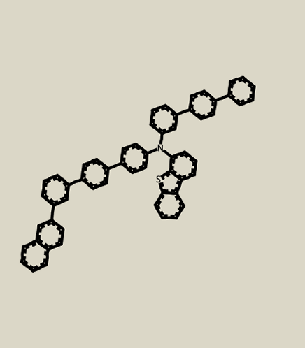 c1ccc(-c2ccc(-c3cccc(N(c4ccc(-c5ccc(-c6cccc(-c7ccc8ccccc8c7)c6)cc5)cc4)c4cccc5c4sc4ccccc45)c3)cc2)cc1